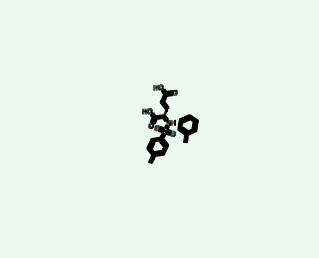 Cc1ccc(S(=O)(=O)N[C@@H](CCC(=O)O)C(=O)O)cc1.Cc1ccccc1